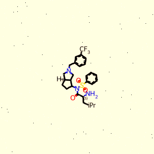 CC(C)C[C@H](N)C(=O)N(C1CC[C@H]2CN(Cc3cccc(C(F)(F)F)c3)CC12)S(=O)(=O)c1ccccc1